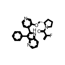 C=C(F)C(=O)N1CCC[C@H]1COc1cnccc1-c1[nH]c2cccnc2c1-c1ccccc1